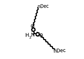 CCCCCCCCCCCCCCCCCCCCCCOC1CCC(C(N)C2CCC(OCCCCCCCCCCCCCCCCCCCCCC)CC2)CC1